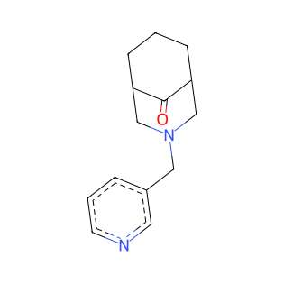 O=C1C2CCCC1CN(Cc1cccnc1)C2